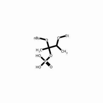 CCCCOC(C)(OP(=O)(O)O)C(C)OCC